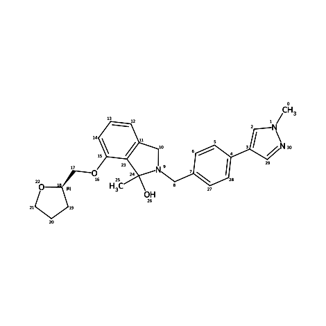 Cn1cc(-c2ccc(CN3Cc4cccc(OC[C@H]5CCCO5)c4C3(C)O)cc2)cn1